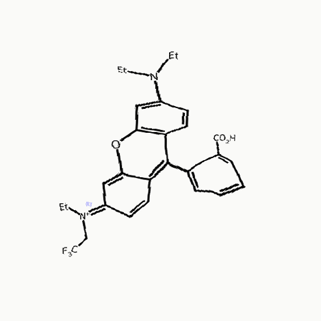 CCN(CC)c1ccc2c(-c3ccccc3C(=O)O)c3cc/c(=[N+](/CC)CC(F)(F)F)cc-3oc2c1